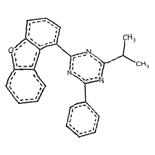 CC(C)c1nc(-c2ccccc2)nc(-c2cccc3oc4ccccc4c23)n1